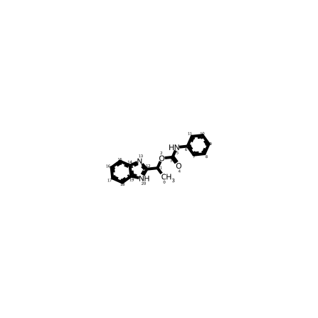 CC(OC(=O)Nc1ccccc1)c1nc2ccccc2[nH]1